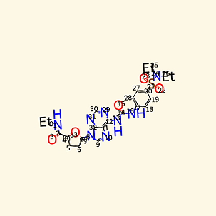 CCNC(=O)[C@@H]1CC[C@H](n2cnc3c(NC(=O)Nc4ccc(S(=O)(=O)N(CC)CC)cc4)ncnc32)O1